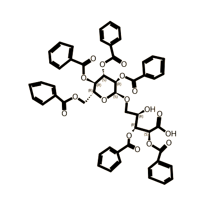 O=C(OC[C@H]1O[C@H](OC[C@@H](O)[C@@H](OC(=O)c2ccccc2)[C@H](OC(=O)c2ccccc2)C(=O)O)[C@H](OC(=O)c2ccccc2)[C@@H](OC(=O)c2ccccc2)[C@@H]1OC(=O)c1ccccc1)c1ccccc1